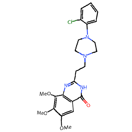 COc1cc2c(=O)[nH]c(CCN3CCN(c4ccccc4Cl)CC3)nc2c(OC)c1OC